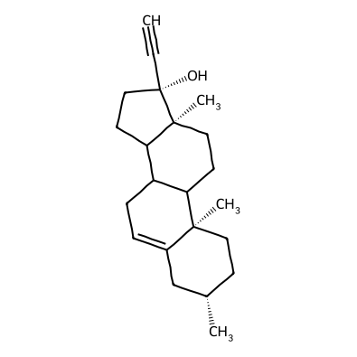 C#C[C@]1(O)CCC2C3CC=C4C[C@@H](C)CC[C@]4(C)C3CC[C@@]21C